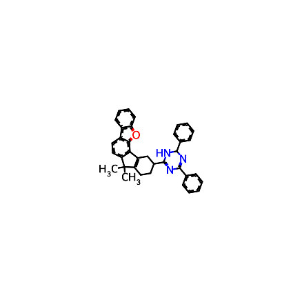 CC1(C)C2=C(CC(C3=NC(c4ccccc4)=NC(c4ccccc4)N3)CC2)c2c1ccc1c2oc2ccccc21